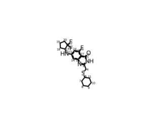 O=c1[nH]c(CSC2CCCCC2)nc2cc(NC3CCCC3(F)F)cc(F)c12